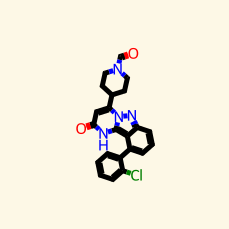 O=CN1CCC(c2cc(=O)[nH]c3c4c(-c5ccccc5Cl)cccc4nn23)CC1